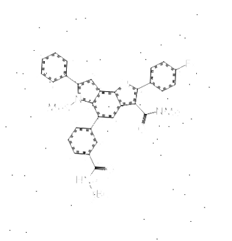 CNC(=O)c1c(-c2ccc(F)cc2)oc2c1cc(-c1cccc(C(=O)NC(C)(C)C)c1)c1c2cc(-c2ccccc2)n1SC